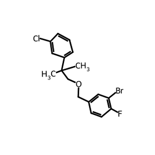 CC(C)(COCc1ccc(F)c(Br)c1)c1cccc(Cl)c1